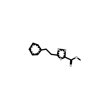 O=C(OI)c1nnc(CCc2ccccc2)s1